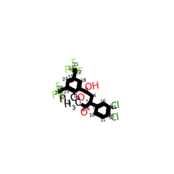 COC(O)(CC(C(C)=O)c1ccc(Cl)c(Cl)c1)c1cc(C(F)(F)F)cc(C(F)(F)F)c1